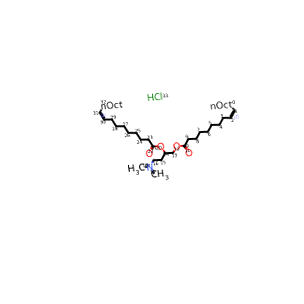 CCCCCCCC/C=C\CCCCCCCC(=O)OCC(CCN(C)C)OC(=O)CCCCCCC/C=C\CCCCCCCC.Cl